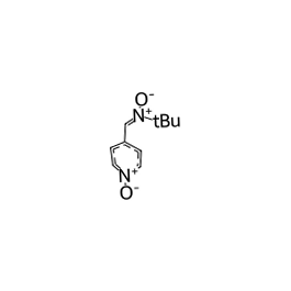 CC(C)(C)/[N+]([O-])=C\c1cc[n+]([O-])cc1